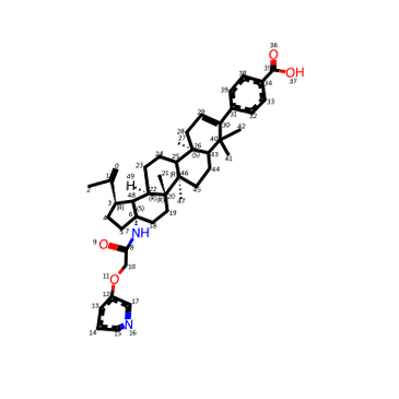 C=C(C)[C@@H]1CC[C@]2(NC(=O)COc3cccnc3)CC[C@]3(C)[C@H](CCC4[C@@]5(C)CC=C(c6ccc(C(=O)O)cc6)C(C)(C)C5CC[C@]43C)C12